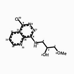 COCC(O)CNc1nnc(Cl)c2cccnc12